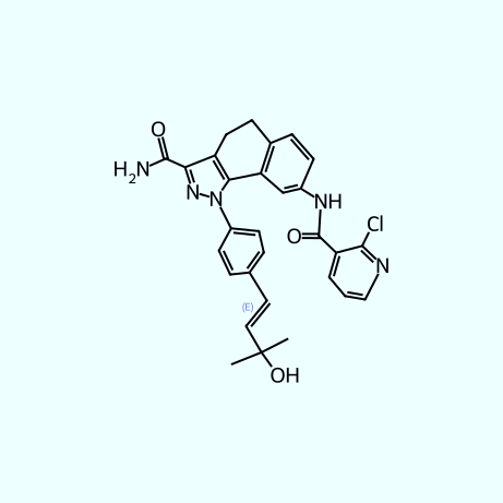 CC(C)(O)/C=C/c1ccc(-n2nc(C(N)=O)c3c2-c2cc(NC(=O)c4cccnc4Cl)ccc2CC3)cc1